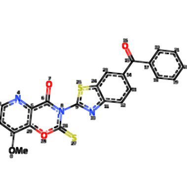 COc1ccnc2c(=O)n(-c3nc4ccc(C(=O)c5ccccc5)cc4s3)c(=S)oc12